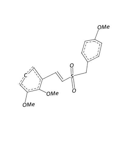 COc1ccc(CS(=O)(=O)C=Cc2cccc(OC)c2OC)cc1